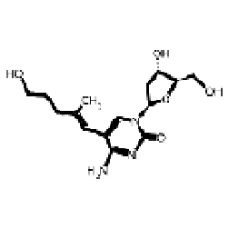 C/C(=C\c1cn([C@H]2C[C@H](O)[C@@H](CO)O2)c(=O)nc1N)CCCO